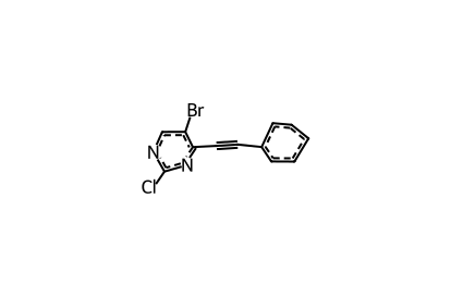 Clc1ncc(Br)c(C#Cc2ccccc2)n1